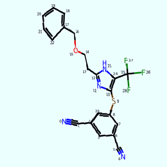 N#Cc1cc(C#N)cc(Sc2nc(CCOCc3ccccc3)[nH]c2C(F)(F)F)c1